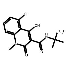 Cn1c(=O)c(C(=O)NC(C)(C)C(=O)O)c(O)c2c(Cl)cccc21